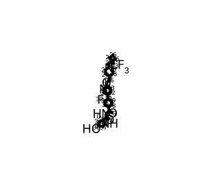 C[C@@]1(C(=O)NC(=O)c2ccc(-c3ccc(OCC4CCN(CC5(C(F)(F)F)CCC5)CC4)nc3)c(F)c2)C[C@@H](O)CN1